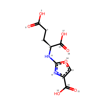 O=C(O)CC[C@H](Nc1nc(C(=O)O)co1)C(=O)O